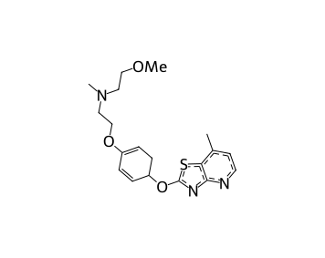 COCCN(C)CCOC1=CCC(Oc2nc3nccc(C)c3s2)C=C1